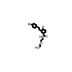 COc1ccc(C(=O)NCCOCCO)cc1C=Cc1ccc(Br)cc1